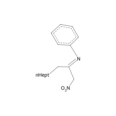 CCCCCCCC/C(C[N+](=O)[O-])=N\c1ccccc1